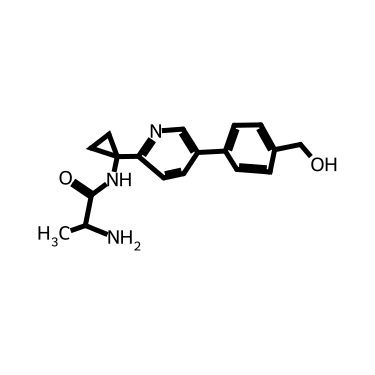 CC(N)C(=O)NC1(c2ccc(-c3ccc(CO)cc3)cn2)CC1